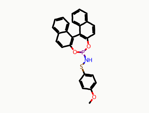 COc1ccc(SNp2oc3ccc4ccccc4c3c3c(ccc4ccccc43)o2)cc1